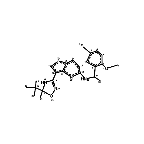 COc1ccc(F)cc1C(C)Nc1ccn2ncc(C3=NOC(C)(C(C)(C)C)N3)c2n1